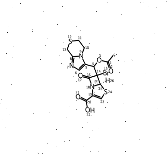 CC(=O)OC(c1cnc2n1CCSC2)C1(Br)C(=O)N2C(C(=O)O)=CS[C@@H]21